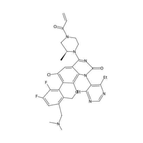 C=CC(=O)N1CCN(c2nc(=O)n(-c3c(CC)ncnc3CC)c3c4c(c(Cl)cc23)-c2c(F)c(F)cc(CN(C)C)c2CO4)[C@@H](C)C1